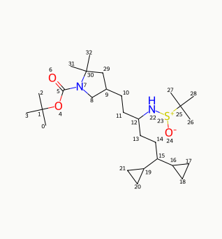 CC(C)(C)OC(=O)N1CC(CCC(CCC(C2CC2)C2CC2)N[S+]([O-])C(C)(C)C)CC1(C)C